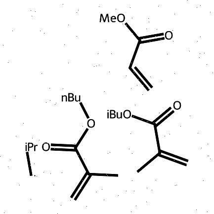 C=C(C)C(=O)OCC(C)C.C=C(C)C(=O)OCCCC.C=CC(=O)OC.[CH2]C(C)C